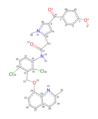 COc1ccc(C(=O)c2cc(CC(=O)N(C)c3ccc(Cl)c(COc4cccc5ccc(C)nc45)c3Cl)n(C)c2)cc1